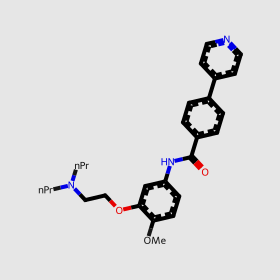 CCCN(CCC)CCOc1cc(NC(=O)c2ccc(-c3ccncc3)cc2)ccc1OC